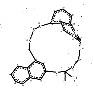 CC1(O)Cc2cc(c3ccccc3c2)CSSCc2cccc3cc(ccc23)CCO1